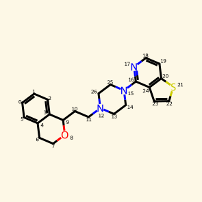 c1ccc2c(c1)CCOC2CCN1CCN(c2nccc3sccc23)CC1